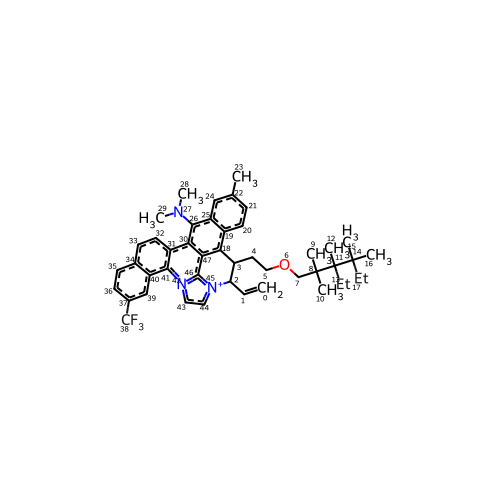 C=CC1C(CCOCC(C)(C)C(C)(CC)C(C)(C)CC)c2c3ccc(C)cc3c(N(C)C)c3c4ccc5ccc(C(F)(F)F)cc5c4n4cc[n+]1c4c23